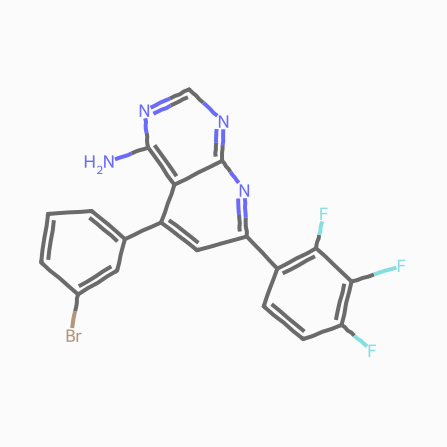 Nc1ncnc2nc(-c3ccc(F)c(F)c3F)cc(-c3cccc(Br)c3)c12